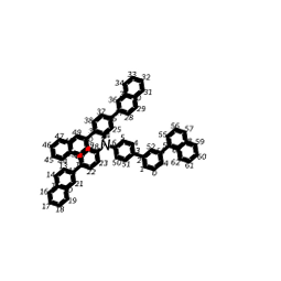 c1cc(-c2ccc(N(c3ccc(-c4ccc5ccccc5c4)cc3)c3cc(-c4ccc5ccccc5c4)ccc3-c3ccc4ccccc4c3)cc2)cc(-c2cccc3ccccc23)c1